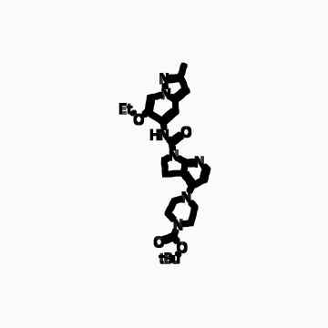 CCOc1cn2nc(C)cc2cc1NC(=O)N1CCc2c(N3CCN(C(=O)OC(C)(C)C)CC3)ccnc21